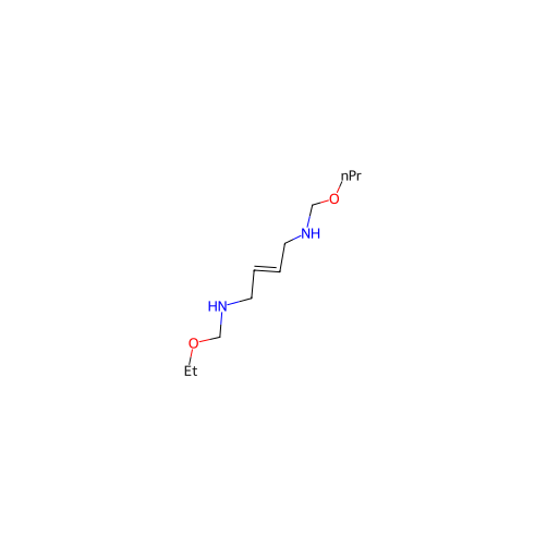 CCCOCNCC=CCNCOCC